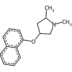 CC1CC(Oc2cccc3ccccc23)CN1C